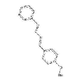 CC(C)(C)Oc1ccc(/C=N/N=C/c2ccccc2)cc1